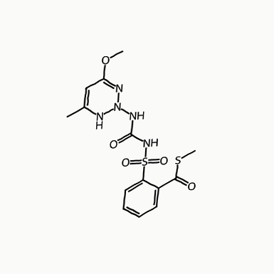 COC1=NN(NC(=O)NS(=O)(=O)c2ccccc2C(=O)SC)NC(C)=C1